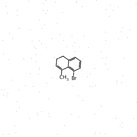 CC1=CCCc2cccc(Br)c21